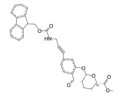 COC(=O)[C@@H]1[CH][CH][CH]C(Oc2cc(C#CCNC(=O)OCC3c4ccccc4-c4ccccc43)ccc2C=O)O1